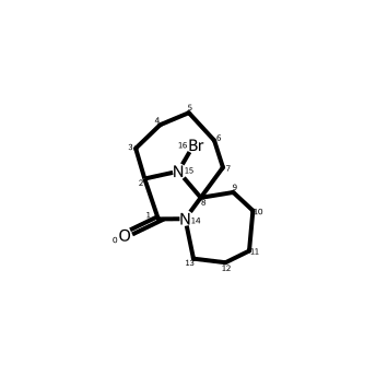 O=C1C2CCCCCC3(CCCCCN13)N2Br